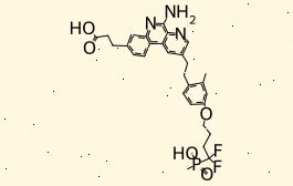 Cc1cc(OCCCC(F)(F)P(C)(=O)O)ccc1CCc1cnc2c(N)nc3cc(CCC(=O)O)ccc3c2c1